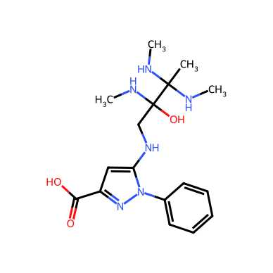 CNC(O)(CNc1cc(C(=O)O)nn1-c1ccccc1)C(C)(NC)NC